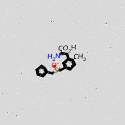 Cc1ccc(C[S+]([O-])Cc2ccccc2)cc1C[C@H](N)C(=O)O